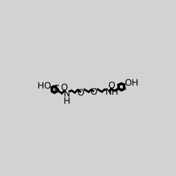 O=C(Cc1ccc(O)cc1)NCCCOCCCOCCCNC(=O)Cc1ccc(O)cc1